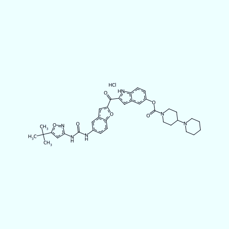 CC(C)(C)c1cc(NC(=O)Nc2ccc3oc(C(=O)c4cc5cc(OC(=O)N6CCC(N7CCCCC7)CC6)ccc5[nH]4)cc3c2)no1.Cl